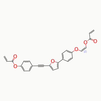 C=CC(=O)O/C=C\Oc1ccc(-c2ccc(C#Cc3ccc(OC(=O)C=C)cc3)o2)cc1